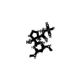 COc1cc(OC)nc(C2(O)CCCC2(F)C(=O)NS(C)(=O)=O)n1